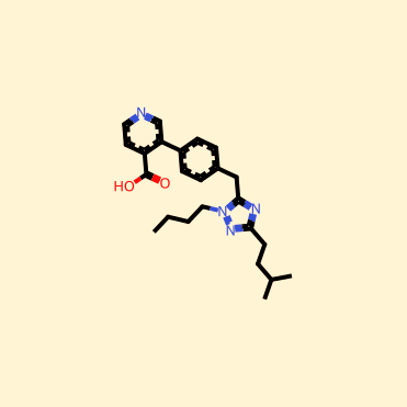 CCCCn1nc(CCC(C)C)nc1Cc1ccc(-c2cnccc2C(=O)O)cc1